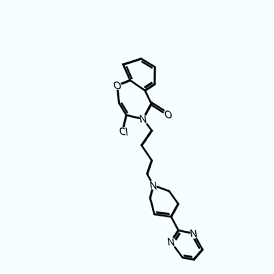 O=C1c2ccccc2OC=C(Cl)N1CCCCN1CC=C(c2ncccn2)CC1